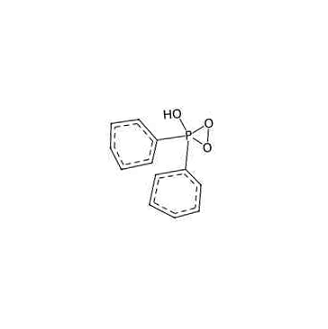 OP1(c2ccccc2)(c2ccccc2)OO1